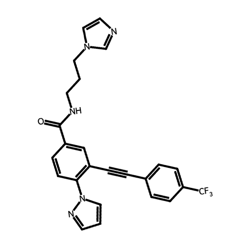 O=C(NCCCn1ccnc1)c1ccc(-n2cccn2)c(C#Cc2ccc(C(F)(F)F)cc2)c1